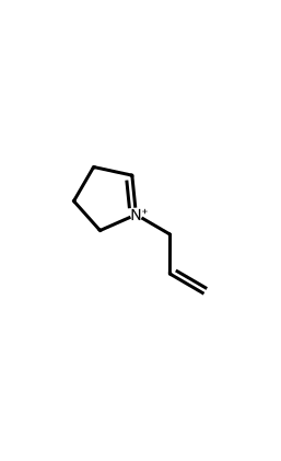 C=CC[N+]1=CCCC1